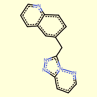 c1cnc2ccc(Cc3nnc4cccnn34)cc2c1